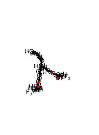 O=C(CCOCC(COC(=O)NCCOCCOCCOCCOC[C@@]12CO[C@@H](O1)[C@H](NC(=O)C(F)(F)F)[C@@H](O)[C@H]2O)NC(=O)CCCOc1ccc2nc(-c3cn(-c4ccc(O)c(F)c4)nn3)ccc2c1)NCCOCCOCCOCCOC[C@@]12CO[C@@H](O1)[C@H](NC(=O)C(F)(F)F)[C@@H](O)[C@H]2O